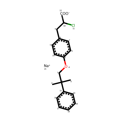 CC(C)(COc1ccc(CC(Cl)C(=O)[O-])cc1)c1ccccc1.[Na+]